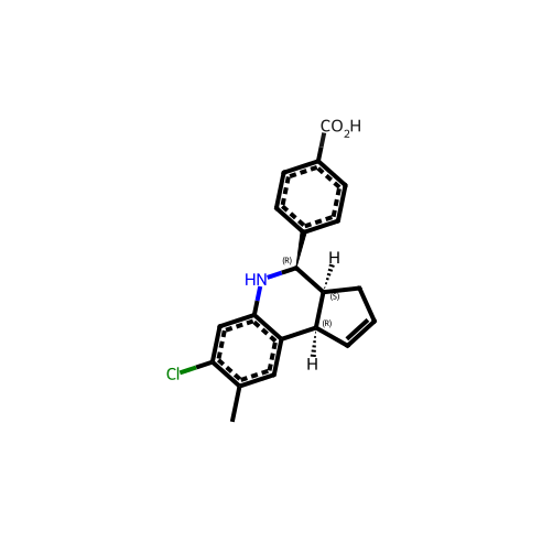 Cc1cc2c(cc1Cl)N[C@@H](c1ccc(C(=O)O)cc1)[C@H]1CC=C[C@@H]21